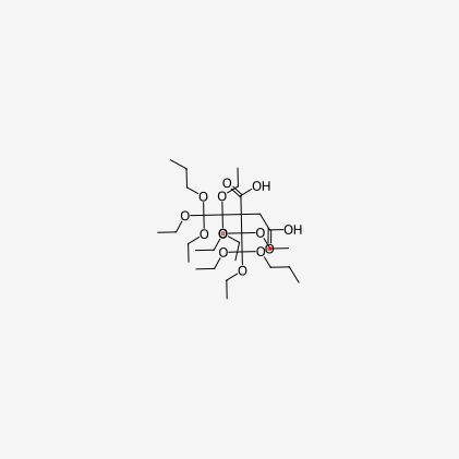 CCCOC(OCC)(OCC)C(OCC)(OCC)C(CC(=O)O)(C(=O)O)C(OCC)(OCC)C(OCC)(OCC)OCCC